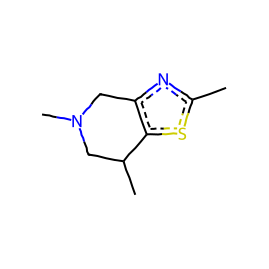 Cc1nc2c(s1)C(C)CN(C)C2